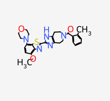 COc1ccc(N2CCOCC2)c2sc(-c3nc4c([nH]3)CCN(C(=O)c3ccccc3C)CC4)nc12